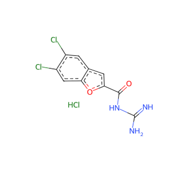 Cl.N=C(N)NC(=O)c1cc2cc(Cl)c(Cl)cc2o1